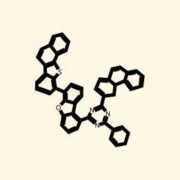 C1=CC(c2nc(C3=CC=C4C=Cc5ccccc5C4C3)nc(-c3cccc4oc5c(-c6cccc7c6sc6c8ccccc8ccc76)cccc5c34)n2)=CCC1